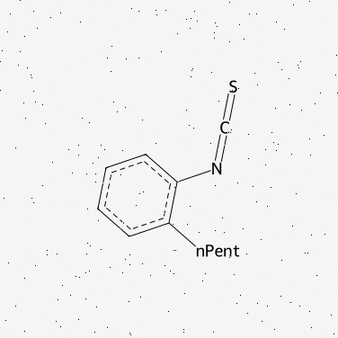 CCCCCc1ccccc1N=C=S